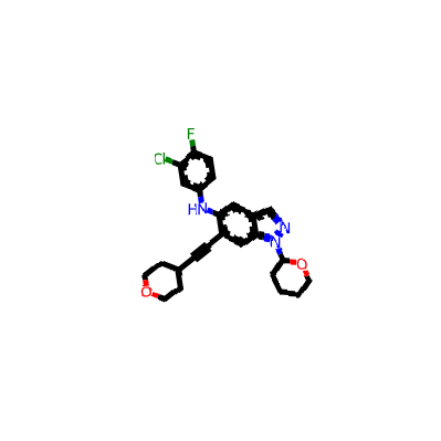 Fc1ccc(Nc2cc3cnn(C4CCCCO4)c3cc2C#CC2CCOCC2)cc1Cl